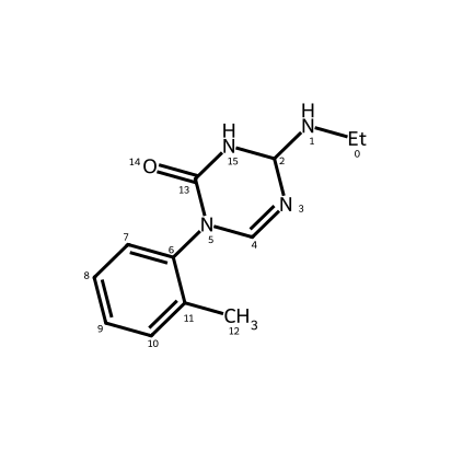 CCNC1N=CN(c2ccccc2C)C(=O)N1